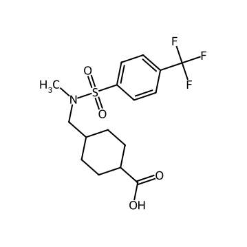 CN(CC1CCC(C(=O)O)CC1)S(=O)(=O)c1ccc(C(F)(F)F)cc1